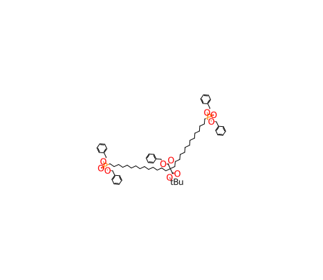 CC(C)(C)OC(=O)C(CCCCCCCCCCCCCCP(=O)(OCc1ccccc1)OCc1ccccc1)(CCCCCCCCCCCCCCP(=O)(OCc1ccccc1)OCc1ccccc1)C(=O)OCc1ccccc1